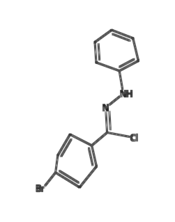 ClC(=NNc1ccccc1)c1ccc(Br)cc1